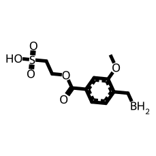 BCc1ccc(C(=O)OCCS(=O)(=O)O)cc1OC